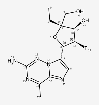 CC[C@]1(CO)O[C@@H](c2cnc3c(C)nc(N)nn23)[C@H](F)[C@@H]1O